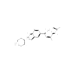 Cc1cn2nc(-c3cc(F)c4nn([C@H]5CCNC[C@@H]5F)cc4c3)cc(C)c2n1